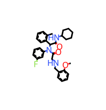 COc1ccccc1CNCC(=O)N(c1cccc(F)c1)C(C(=O)NC1CCCCC1)c1ccccc1C